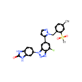 CCS(=O)(=O)c1cc(C#N)ccc1Cn1nccc1-c1cc(F)c2nnn(-c3ccc4[nH]c(=O)[nH]c4c3)c2c1